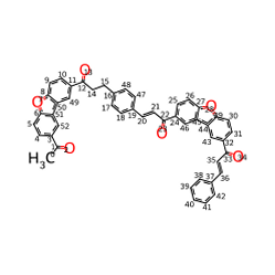 CC(=O)c1ccc2oc3ccc(C(=O)CCc4ccc(/C=C/C(=O)c5ccc6oc7ccc(C(=O)/C=C/c8ccccc8)cc7c6c5)cc4)cc3c2c1